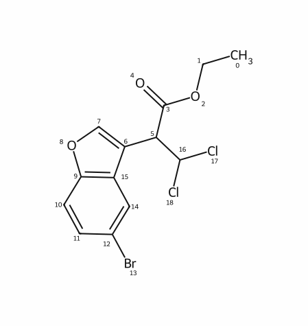 CCOC(=O)C(c1coc2ccc(Br)cc12)C(Cl)Cl